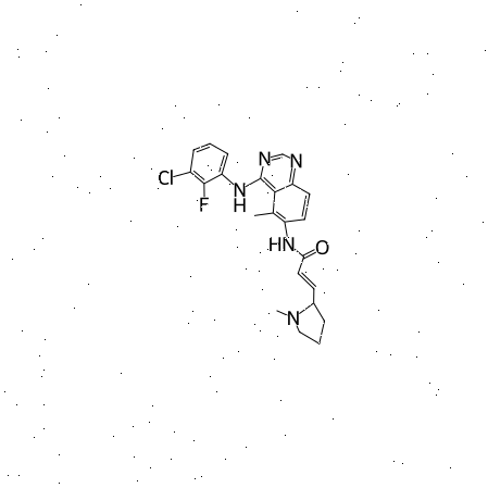 Cc1c(NC(=O)/C=C/C2CCCN2C)ccc2ncnc(Nc3cccc(Cl)c3F)c12